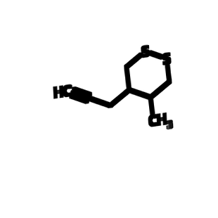 C#CCC1CSSCC1C